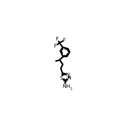 CC(CCc1nnc(N)s1)c1cccc(C(F)(F)F)c1